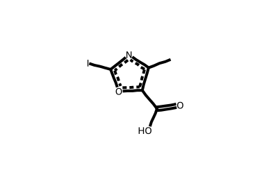 Cc1nc(I)oc1C(=O)O